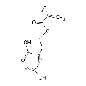 C=C(C)C(=O)OCC/C(=C/C(=O)O)C(=O)O